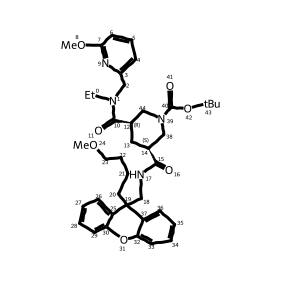 CCN(Cc1cccc(OC)n1)C(=O)[C@@H]1C[C@H](C(=O)NCC2(CCCCOC)c3ccccc3Oc3ccccc32)CN(C(=O)OC(C)(C)C)C1